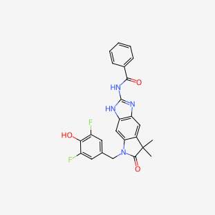 CC1(C)C(=O)N(Cc2cc(F)c(O)c(F)c2)c2cc3[nH]c(NC(=O)c4ccccc4)nc3cc21